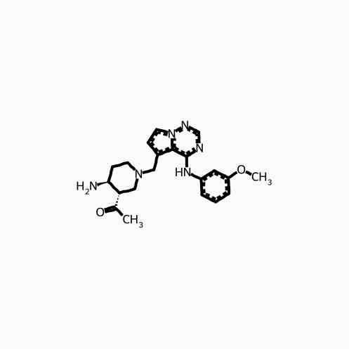 COc1cccc(Nc2ncnn3ccc(CN4CC[C@H](N)[C@@H](C(C)=O)C4)c23)c1